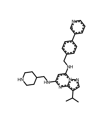 CC(C)c1cnn2c(NCc3ccc(-c4cccnc4)cc3)cc(NCC3CCNCC3)nc12